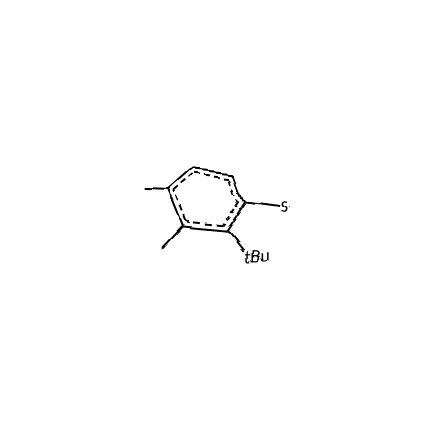 Cc1ccc([S])c(C(C)(C)C)c1C